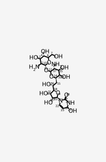 NC1C(O)[C@H](O)C(CO)O[C@@H]1OC1O[C@H](C[C@@H](O)[C@H]2O[C@@H](N3C=CC(O)NC3=O)[C@H](O)[C@@H]2O)C(O)C(O)[C@H]1N